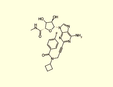 CNC(=O)[C@H]1O[C@@H](n2cnc3c(N)nc(C#CCN(C(=O)c4ccc(F)cc4)C4CCC4)nc32)[C@H](O)C1O